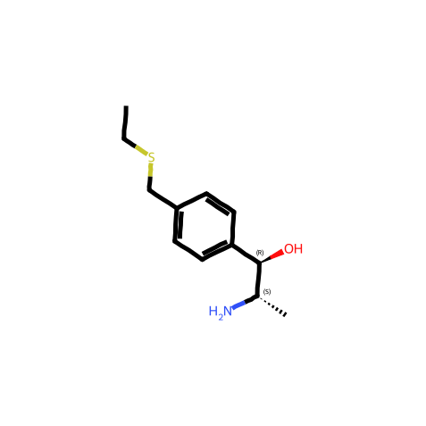 CCSCc1ccc([C@@H](O)[C@H](C)N)cc1